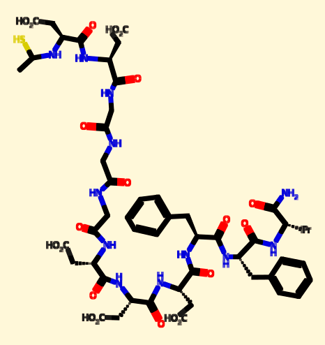 CC(S)N[C@@H](CC(=O)O)C(=O)N[C@@H](CC(=O)O)C(=O)NCC(=O)NCC(=O)NCC(=O)N[C@@H](CC(=O)O)C(=O)N[C@@H](CC(=O)O)C(=O)N[C@@H](CC(=O)O)C(=O)N[C@@H](Cc1ccccc1)C(=O)N[C@@H](Cc1ccccc1)C(=O)N[C@H](C(N)=O)C(C)C